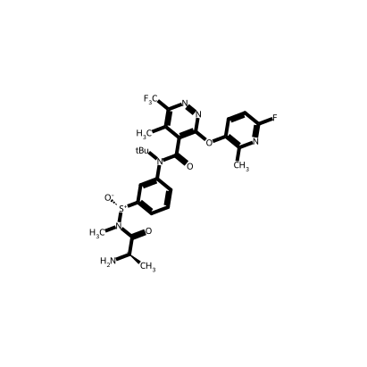 Cc1nc(F)ccc1Oc1nnc(C(F)(F)F)c(C)c1C(=O)N(c1cccc([S@@+]([O-])N(C)C(=O)[C@@H](C)N)c1)C(C)(C)C